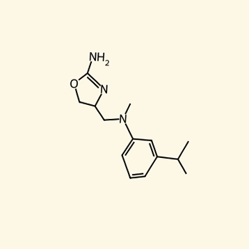 CC(C)c1cccc(N(C)CC2COC(N)=N2)c1